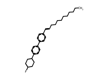 CCCCCCCCCC/C=C/c1ccc(-c2ccc(C3CCC(F)CC3)cc2)cc1